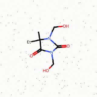 CCC1(C)C(=O)N(CO)C(=O)N1CO